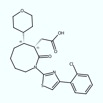 O=C(O)C[C@@H]1C(=O)N(c2nc(-c3ccccc3Cl)cs2)CCCC[C@@H]1C1CCOCC1